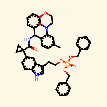 Cc1ccc(C(NC(=O)C2(c3ccc4[nH]cc(CCOP(=O)(OCc5ccccc5)OCc5ccccc5)c4c3)CC2)c2ccccc2)c(N2CCOCC2)c1